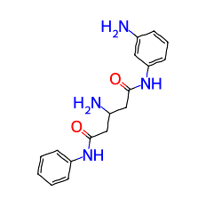 Nc1cccc(NC(=O)CC(N)CC(=O)Nc2ccccc2)c1